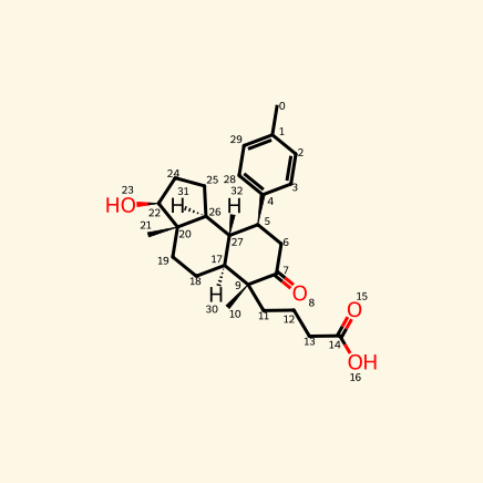 Cc1ccc([C@H]2CC(=O)[C@](C)(CCCC(=O)O)[C@H]3CC[C@]4(C)[C@@H](O)CC[C@H]4[C@H]23)cc1